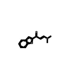 CN(C)C=CC(=O)c1cc2ccccc2o1